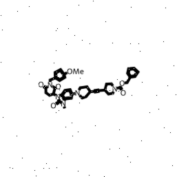 COc1ccc(CN2C(=O)CCC(n3c(=O)n(C)c4cc(N5CCC(C#CC6CCN(C(=O)OCc7ccccc7)CC6)CC5)ccc43)C2=O)cc1